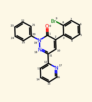 O=c1c(-c2ccccc2Br)cc(-c2ccccn2)nn1-c1ccccc1